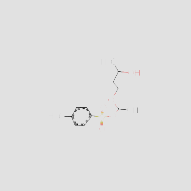 Cc1ccc(S(=O)(=O)OC(C)OCCC(C)O)cc1